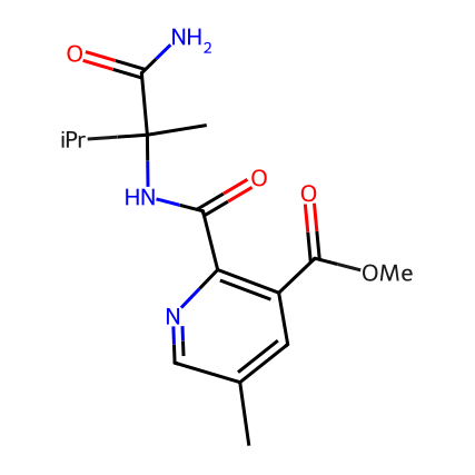 COC(=O)c1cc(C)cnc1C(=O)NC(C)(C(N)=O)C(C)C